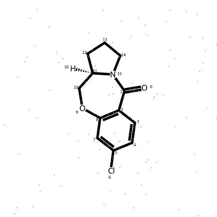 O=C1c2ccc(Cl)cc2OC[C@H]2CCCN12